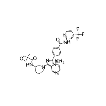 CC1(C(=O)NC2CCCN(C3=C4C=NC=C[N+]4(N)C(c4ccc(C(=O)Nc5cc(C(F)(F)F)ccn5)cc4)=N3)C2)COC1